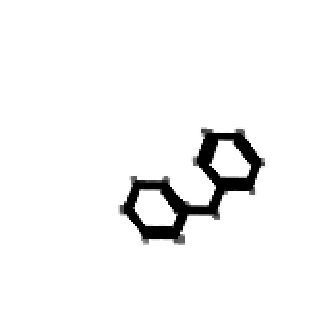 [c]1ccc(CC2=CC[CH]C=C2)cc1